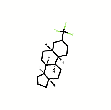 C[C@@]12CCC[C@H]1[C@@H]1CC[C@@H]3CC(C(F)(F)F)CC[C@@H]3[C@H]1CC2